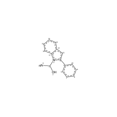 CCCC(O)n1c(-c2ccccc2)cc2ccccc21